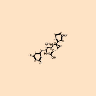 O=C(O)N[C@@H](Cc1cc(F)cc(F)c1)[C@H](O)CNC1(c2cccc(Br)c2)CC1